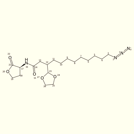 [N-]=[N+]=NCCCCCCCCCC(CC(=O)N[C@H]1CCOC1=O)C1OCCO1